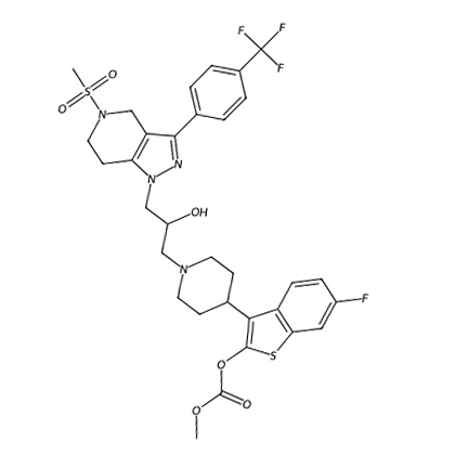 COC(=O)Oc1sc2cc(F)ccc2c1C1CCN(CC(O)Cn2nc(-c3ccc(C(F)(F)F)cc3)c3c2CCN(S(C)(=O)=O)C3)CC1